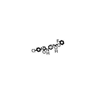 O=C1[C@H](NC2CCN(C[C@@H](O)COc3ccccc3F)CC2)CCN1c1ccc(Cl)cc1